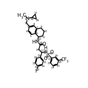 CN(Cc1ccc2c(c1)CCCC2NC(=O)CC(NS(=O)(=O)c1cccc(C(F)(F)F)c1)c1ccc(F)cc1)C1CC1